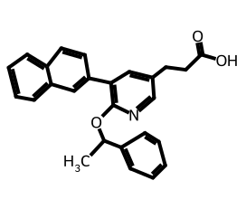 CC(Oc1ncc(CCC(=O)O)cc1-c1ccc2ccccc2c1)c1ccccc1